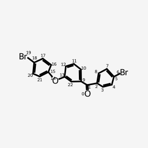 O=C(c1ccc(Br)cc1)c1cccc(Oc2ccc(Br)cc2)c1